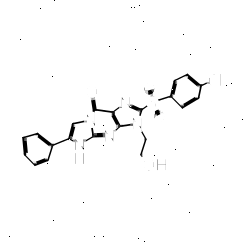 O=c1c2nc(S(=O)(=O)c3ccc(Cl)cc3)n(CCO)c2nc2[nH]c(-c3ccccc3)cn12